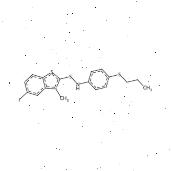 CCCSc1ccc(NSc2sc3ccc(I)cc3c2C)cc1